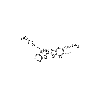 CC(C)(C)[C@H]1CCc2nc3sc(C(=O)N[C@H](CCN4CC(O)C4)c4ccccc4)cc3cc2C1